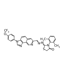 Cc1cccc(C)c1N1C(=O)CSC1=NN=Cc1cc2ccc3c(ncn3-c3ccc(OC(F)(F)F)cc3)c2cn1